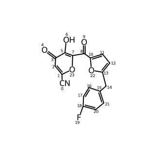 N#Cc1cc(=O)c(O)c(C(=O)c2ccc(Cc3ccc(F)cc3)o2)o1